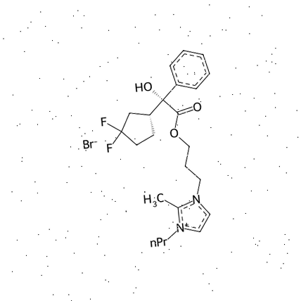 CCC[n+]1ccn(CCCOC(=O)[C@](O)(c2ccccc2)[C@@H]2CCC(F)(F)C2)c1C.[Br-]